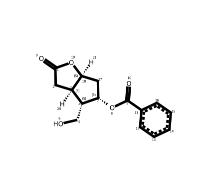 O=C1C[C@@H]2[C@@H](CO)[C@@H](OC(=O)c3ccccc3)C[C@@H]2O1